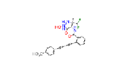 CC(N)(C(F)F)[C@H](NC(=O)c1ccccc1C#CC#Cc1ccc(C(=O)O)cc1)C(=O)NO